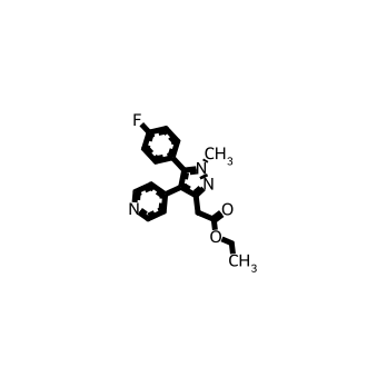 CCOC(=O)Cc1nn(C)c(-c2ccc(F)cc2)c1-c1ccncc1